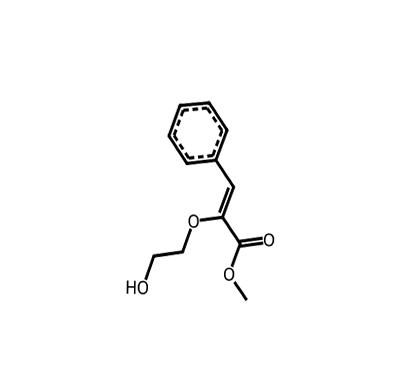 COC(=O)C(=Cc1ccccc1)OCCO